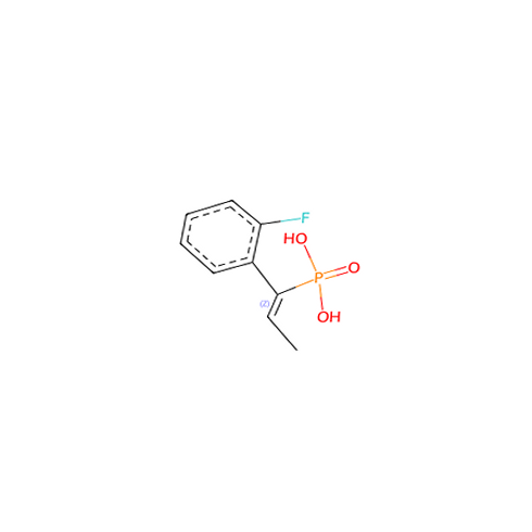 C/C=C(/c1ccccc1F)P(=O)(O)O